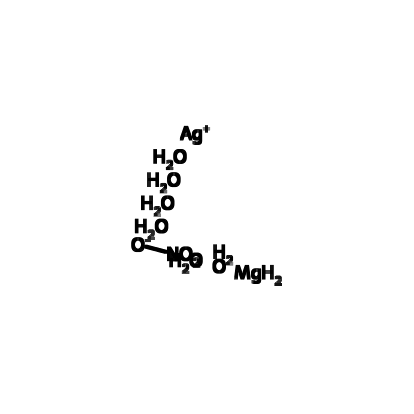 O.O.O.O.O.O.O=[N+]([O-])[O-].[Ag+].[MgH2]